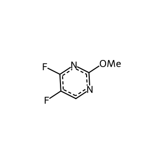 COc1ncc(F)c(F)n1